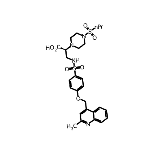 CCCS(=O)(=O)N1CCN([C@@H](CNS(=O)(=O)c2ccc(OCc3cc(C)nc4ccccc34)cc2)C(=O)O)CC1